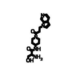 NC(CO)C(=O)NC1CCN(C(=O)CCn2ccc3ccncc32)CC1